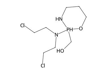 OC[PH]1(N(CCCl)CCCl)NCCCO1